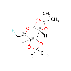 CC1(C)OC2O[C@H](CF)[C@@H]3OC(C)(C)OC3[C@H]2O1